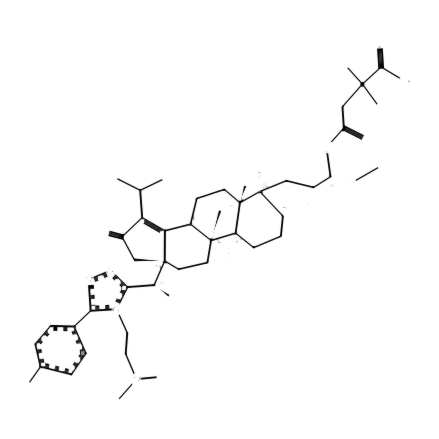 CC[C@H](CC[C@@]1(C)[C@H](C)CC[C@]2(C)[C@@H]1CC[C@@H]1C3=C(C(C)C)C(=O)C[C@]3([C@@H](O)c3nnc(-c4ccc(F)cc4)n3CCN(C)C)CC[C@]12C)OC(=O)CC(C)(C)C(=O)O